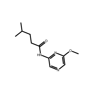 COc1cncc(NC(=O)CCC(C)C)n1